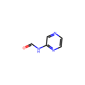 O=[C]Nc1cnccn1